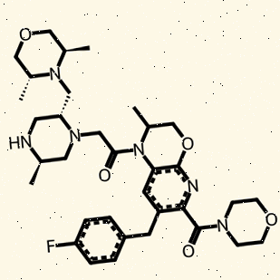 CC1COc2nc(C(=O)N3CCOCC3)c(Cc3ccc(F)cc3)cc2N1C(=O)CN1C[C@@H](C)NC[C@@H]1CN1[C@H](C)COC[C@H]1C